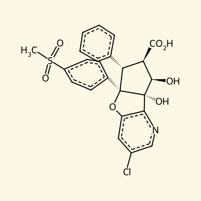 CS(=O)(=O)c1ccc([C@@]23Oc4cc(Cl)cnc4[C@]2(O)[C@H](O)[C@H](C(=O)O)[C@H]3c2ccccc2)cc1